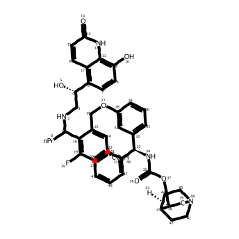 CCCC(NC[C@H](O)c1ccc(O)c2[nH]c(=O)ccc12)c1c(F)cc(C(=O)O)cc1COc1cccc([C@@H](NC(=O)O[C@H]2CN3CCC2CC3)c2ccccc2)c1